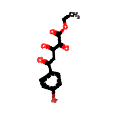 CCOC(=O)C(=O)C(=O)CC(=O)c1ccc(Br)cc1